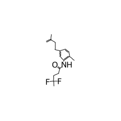 C=C(C)CCc1ccc(C)c(NC(=O)CCC(C)(F)F)c1